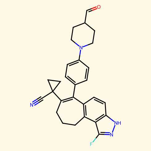 N#CC1(C2=C(c3ccc(N4CCC(C=O)CC4)cc3)c3ccc4[nH]nc(F)c4c3CCC2)CC1